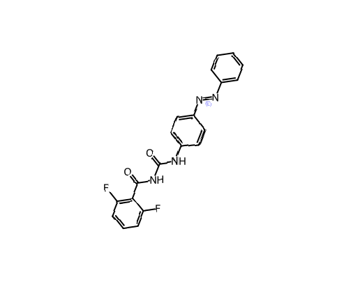 O=C(NC(=O)c1c(F)cccc1F)Nc1ccc(/N=N/c2ccccc2)cc1